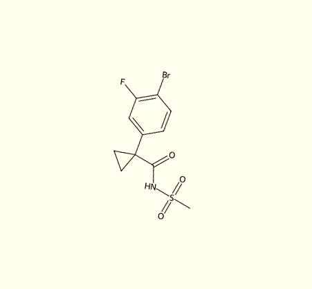 CS(=O)(=O)NC(=O)C1(c2ccc(Br)c(F)c2)CC1